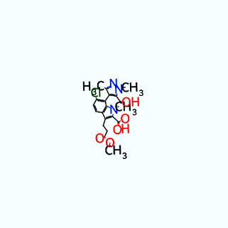 COC(=O)CCc1c(C(=O)O)n(C)c2c(-c3c(C)nn(C)c3CO)c(Cl)ccc12